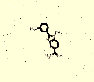 Cc1cccc(-c2nc3cc(C(=N)N)ccc3n2C)c1